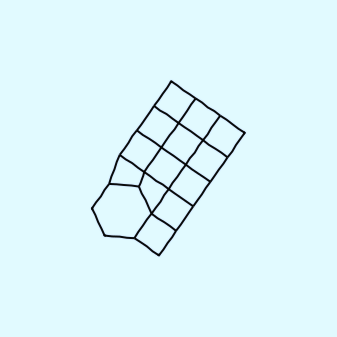 C1CC2CC3C4C5C6CC7C8CC9C%10C%11C1C1C23C42C%111C%101C89C76C521